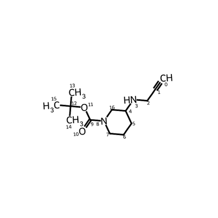 C#CCNC1CCCN(C(=O)OC(C)(C)C)C1